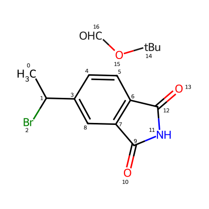 CC(Br)c1ccc2c(c1)C(=O)NC2=O.CC(C)(C)OC=O